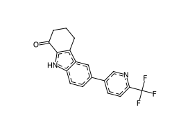 O=C1CCCc2c1[nH]c1ccc(-c3ccc(C(F)(F)F)nc3)cc21